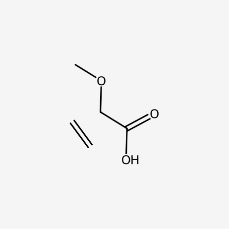 C=C.COCC(=O)O